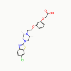 C[C@@H]1CN(c2nc3ccc(Cl)cc3s2)C[C@H](C)N1CCOc1cccc(OCC(=O)O)c1